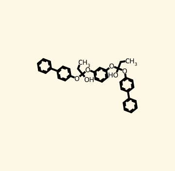 CCC(O)(Oc1ccc(-c2ccccc2)cc1)Oc1cccc(OC(O)(CC)Oc2ccc(-c3ccccc3)cc2)c1